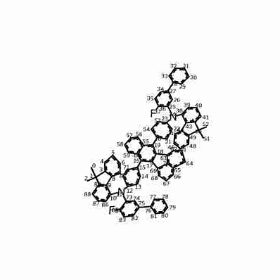 CC1(C)c2ccccc2-c2c(N(c3ccc(-c4c5c(c(-c6ccc(N(c7cc(-c8ccccc8)ccc7F)c7cccc8c7-c7ccccc7C8(C)C)cc6)c6ccccc46)-c4cccc6cccc-5c46)cc3)c3cc(-c4ccccc4)ccc3F)cccc21